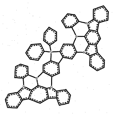 c1ccc([Si]2(c3ccccc3)c3cc4c(cc3-c3cc5c(cc32)B2c3ccccc3-n3c6ccccc6c6cc7c8ccccc8n-5c7c2c63)-n2c3ccccc3c3cc5c6ccccc6n6c5c(c32)B4c2ccccc2-6)cc1